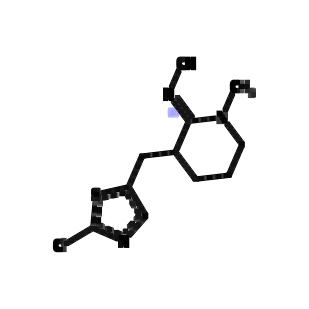 CN1CCCC(Cc2cnc(Cl)s2)/C1=N/C#N